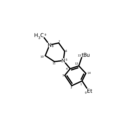 CCc1ccc(N2CCN(C)CC2)c(C(C)(C)C)c1